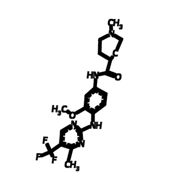 COc1cc(NC(=O)C2CCN(C)CC2)ccc1Nc1ncc(C(F)(F)F)c(C)n1